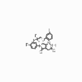 O=C1CC2=C(CN(c3ccc(F)cc3)C2=O)N(c2ccc(F)cc2OCC(F)(F)F)N1